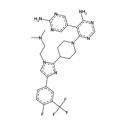 CN(C)CCn1cc(-c2ccc(F)c(C(F)(F)F)c2)nc1C1CCN(c2ncnc(N)c2-c2cnc(N)nc2)CC1